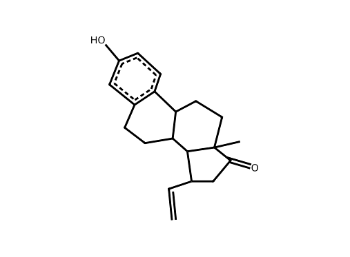 C=CC1CC(=O)C2(C)CCC3c4ccc(O)cc4CCC3C12